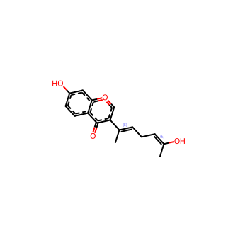 C/C(O)=C\C/C=C(\C)c1coc2cc(O)ccc2c1=O